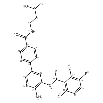 CC(O)CCNC(=O)c1ccc(-c2cnc(N)c(OC(C)c3c(Cl)ccc(F)c3Cl)c2)cc1